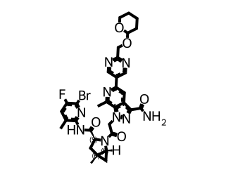 Cc1cc(F)c(Br)nc1NC(=O)[C@@H]1C[C@@]2(C)C[C@H]2N1C(=O)Cn1nc(C(N)=O)c2cc(-c3cnc(COC4CCCCO4)nc3)nc(C)c21